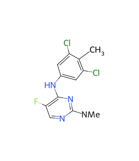 CNc1ncc(F)c(Nc2cc(Cl)c(C)c(Cl)c2)n1